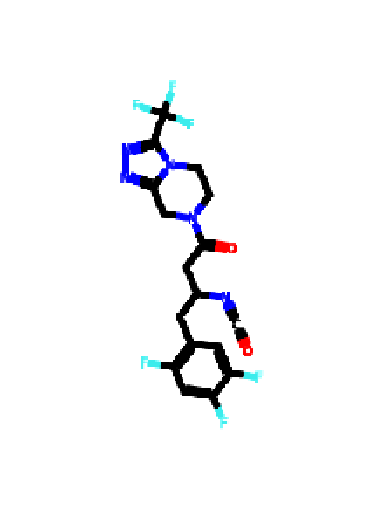 O=C=NC(CC(=O)N1CCn2c(nnc2C(F)(F)F)C1)Cc1cc(F)c(F)cc1F